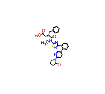 CN(C(=O)[C@@H](CC(=O)O)Cc1ccccc1)c1nc(-c2ccccc2-c2ccc(N3CCCC3=O)nc2)ns1